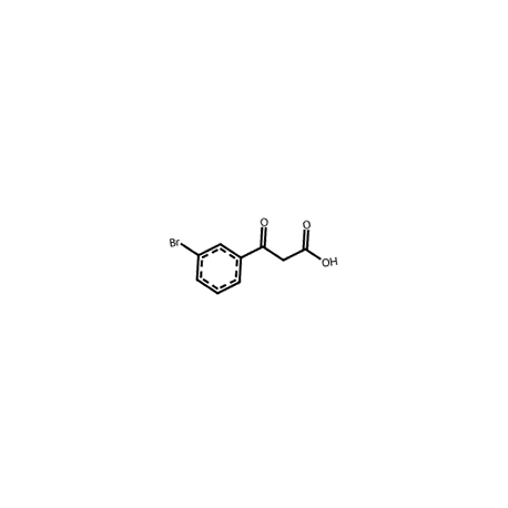 O=C(O)CC(=O)c1cccc(Br)c1